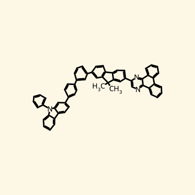 CC1(C)c2cc(-c3cccc(-c4ccc(-c5ccc6c7ccccc7n(-c7ccccc7)c6c5)cc4)c3)ccc2-c2ccc(-c3cnc4c5ccccc5c5ccccc5c4n3)cc21